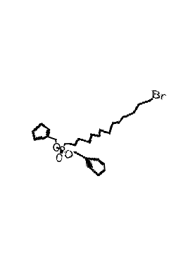 O=P(CCCCCCCCCCCCCCBr)(OCc1ccccc1)OCc1ccccc1